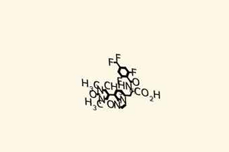 Cc1c(-c2ccc(C[C@H](NC(=O)c3c(F)cc(C(F)F)cc3F)C(=O)O)n3ccnc23)c(=O)n(C)c(=O)n1C